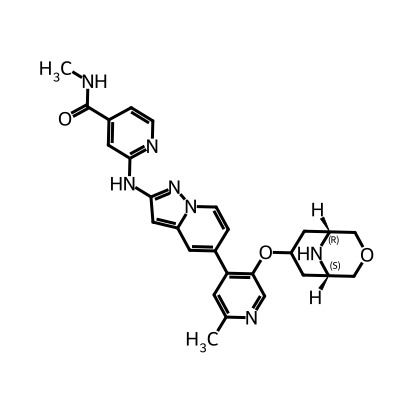 CNC(=O)c1ccnc(Nc2cc3cc(-c4cc(C)ncc4OC4C[C@H]5COC[C@@H](C4)N5)ccn3n2)c1